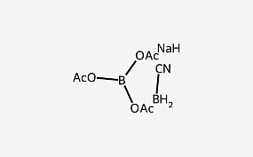 BC#N.CC(=O)OB(OC(C)=O)OC(C)=O.[NaH]